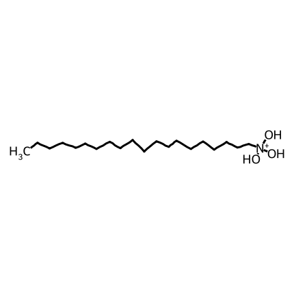 CCCCCCCCCCCCCCCCCCCC[N+](O)(O)O